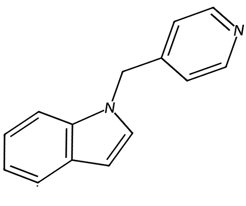 [c]1cccc2c1ccn2Cc1ccncc1